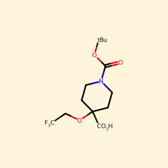 CC(C)(C)OC(=O)N1CCC(OCC(F)(F)F)(C(=O)O)CC1